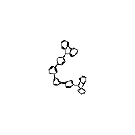 c1cc(-c2ccc(C3c4ccccc4-c4ccccc43)cc2)cc(-c2cccc(-c3ccc(-n4c5ccccc5c5ccccc54)cc3)c2)c1